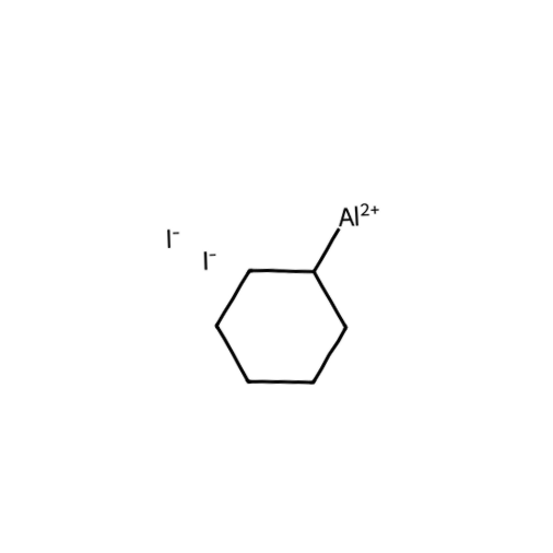 [Al+2][CH]1CCCCC1.[I-].[I-]